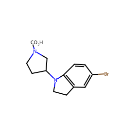 O=C(O)N1CCC(N2CCc3cc(Br)ccc32)C1